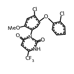 COc1cc(Cl)c(Oc2ccccc2Cl)cc1-n1c(=O)cc(C(F)(F)F)[nH]c1=O